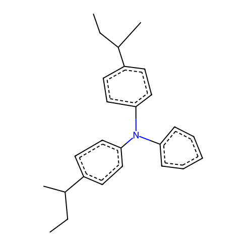 CCC(C)c1ccc(N(c2ccccc2)c2ccc(C(C)CC)cc2)cc1